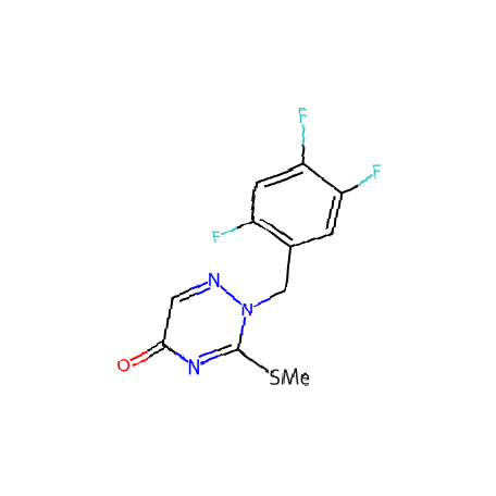 CSc1nc(=O)cnn1Cc1cc(F)c(F)cc1F